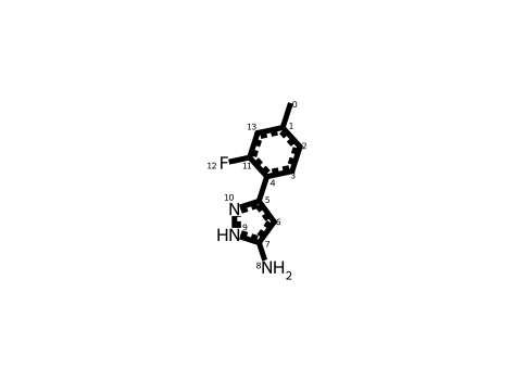 Cc1ccc(-c2cc(N)[nH]n2)c(F)c1